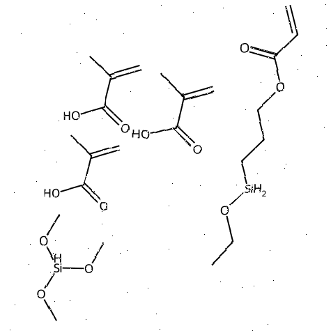 C=C(C)C(=O)O.C=C(C)C(=O)O.C=C(C)C(=O)O.C=CC(=O)OCCC[SiH2]OCC.CO[SiH](OC)OC